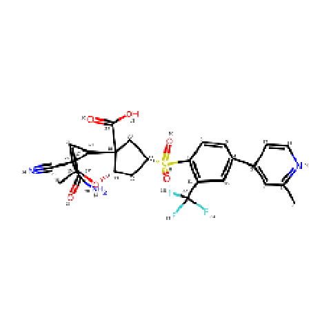 Cc1cc(-c2ccc(S(=O)(=O)[C@@H]3C[C@H](OC(C)C)[C@@](C(=O)O)(C4CC4(C#N)C(N)=O)C3)c(C(F)(F)F)c2)ccn1